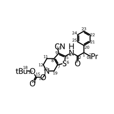 CC(C)C(C(=O)Nc1sc2c(c1C#N)CCN(OC(=O)OC(C)(C)C)C2)c1ccccc1